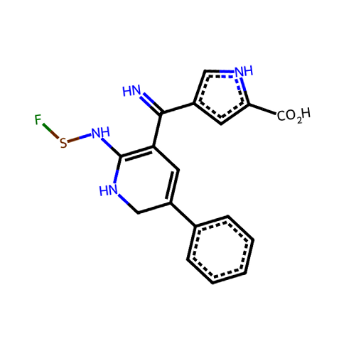 N=C(C1=C(NSF)NCC(c2ccccc2)=C1)c1c[nH]c(C(=O)O)c1